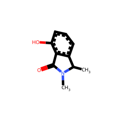 CC1c2cccc(O)c2C(=O)N1C